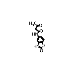 CC(=O)CC(=O)Nc1ccc2oc(=O)[nH]c2c1